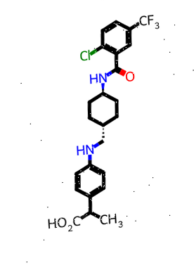 CC(C(=O)O)c1ccc(NC[C@H]2CC[C@H](NC(=O)c3cc(C(F)(F)F)ccc3Cl)CC2)cc1